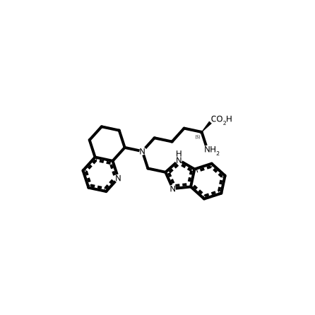 N[C@@H](CCCN(Cc1nc2ccccc2[nH]1)C1CCCc2cccnc21)C(=O)O